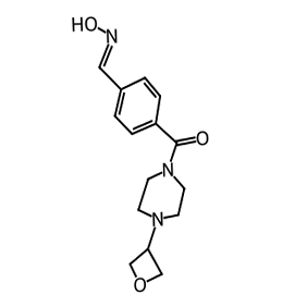 O=C(c1ccc(C=NO)cc1)N1CCN(C2COC2)CC1